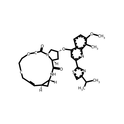 COc1ccc2c(O[C@@H]3C[C@H]4C(=O)N[C@@H]5C[C@H]5/C=C\CCCCOCC(=O)N4C3)cc(-c3nc(C(C)C)cs3)nc2c1C